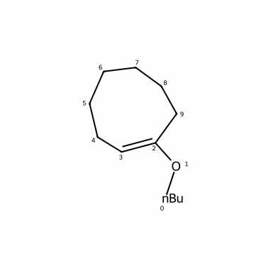 CCCCOC1=CCCCCCC1